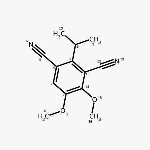 COc1cc(C#N)c(C(C)C)c(C#N)c1OC